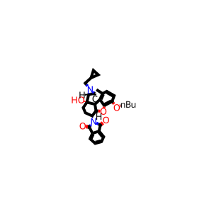 CCCCOc1ccc(C)c2c1O[C@H]1[C@H](N3C(=O)c4ccccc4C3=O)CC[C@@]3(O)[C@H]4C(C[C@]213)N4CC1CC1